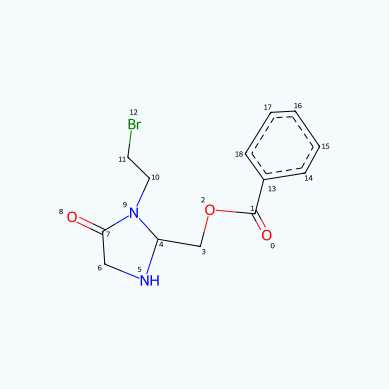 O=C(OCC1NCC(=O)N1CCBr)c1ccccc1